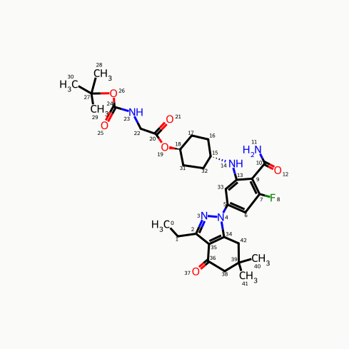 CCc1nn(-c2cc(F)c(C(N)=O)c(N[C@H]3CC[C@H](OC(=O)CNC(=O)OC(C)(C)C)CC3)c2)c2c1C(=O)CC(C)(C)C2